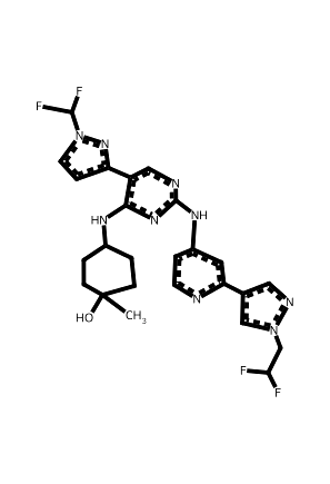 CC1(O)CCC(Nc2nc(Nc3ccnc(-c4cnn(CC(F)F)c4)c3)ncc2-c2ccn(C(F)F)n2)CC1